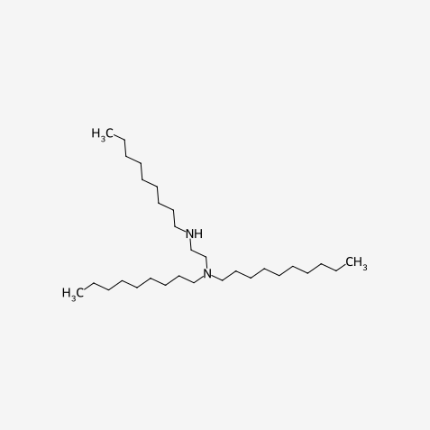 CCCCCCCCCCN(CCCCCCCCC)CCNCCCCCCCCC